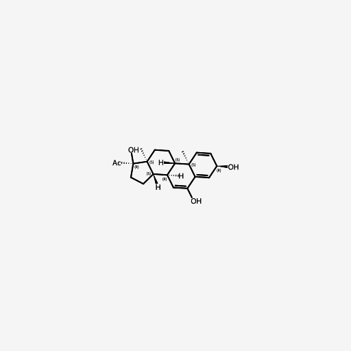 CC(=O)[C@@]1(O)CC[C@H]2[C@@H]3C=C(O)C4=C[C@H](O)C=C[C@]4(C)[C@H]3CC[C@@]21C